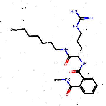 CCCCCCCCCCCCCCCCNC(=O)[C@H](CCCNC(=N)N)NC(=O)c1ccccc1C(=O)NC(C)C